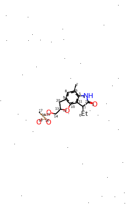 CCC1C(=O)Nc2c(C)cc3c(c21)OC(COS(C)(=O)=O)C3